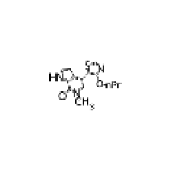 CCCOc1ncsc1-c1cn(C)c(=O)c2[nH]ccc12